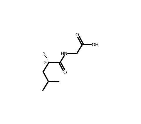 CC(C)C[C@H](C)C(=O)NCC(=O)O